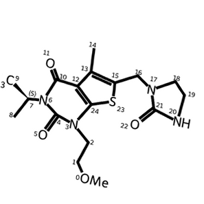 COCCn1c(=O)n([C@@H](C)C(F)(F)F)c(=O)c2c(C)c(CN3CCNC3=O)sc21